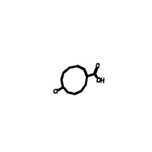 O=C(O)C1CCCCCC(Cl)CCCC1